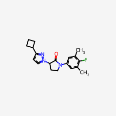 Cc1cc(N2CCC(n3ccc(C4CCC4)n3)C2=O)cc(C)c1F